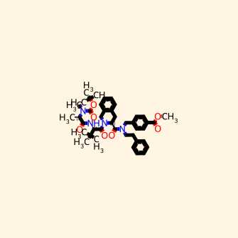 COC(=O)c1ccc(CN(CCc2ccccc2)C(=O)[C@@H]2Cc3ccccc3CN2C(=O)[C@@H](NC(=O)[C@H](C)N(C)C(=O)OC(C)(C)C)C(C)(C)C)cc1